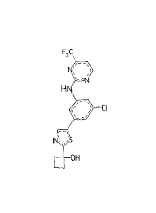 OC1(c2ncc(-c3cc(Cl)cc(Nc4nccc(C(F)(F)F)n4)c3)s2)CCC1